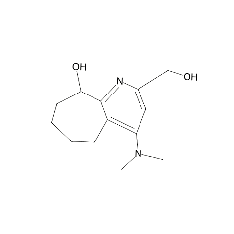 CN(C)c1cc(CO)nc2c1CCCCC2O